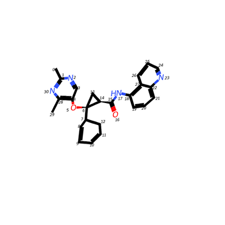 Cc1ncc(O[C@@]2(C3C=CC=CC3)C[C@H]2C(=O)Nc2cccc3ncccc23)c(C)n1